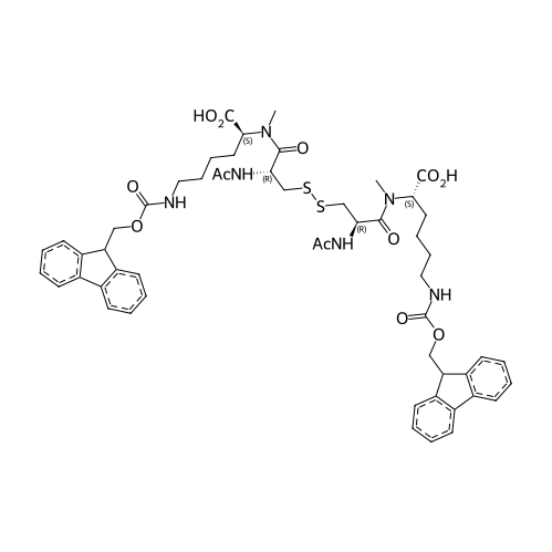 CC(=O)N[C@@H](CSSC[C@H](NC(C)=O)C(=O)N(C)[C@@H](CCCCNC(=O)OCC1c2ccccc2-c2ccccc21)C(=O)O)C(=O)N(C)[C@@H](CCCCNC(=O)OCC1c2ccccc2-c2ccccc21)C(=O)O